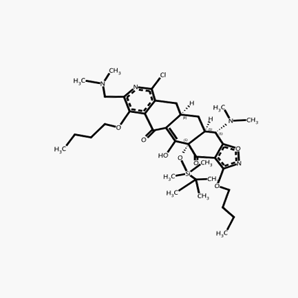 CCCCOc1noc2c1C(=O)[C@@]1(O[Si](C)(C)C(C)(C)C)C(O)=C3C(=O)c4c(c(Cl)nc(CN(C)C)c4OCCCC)C[C@H]3C[C@H]1[C@@H]2N(C)C